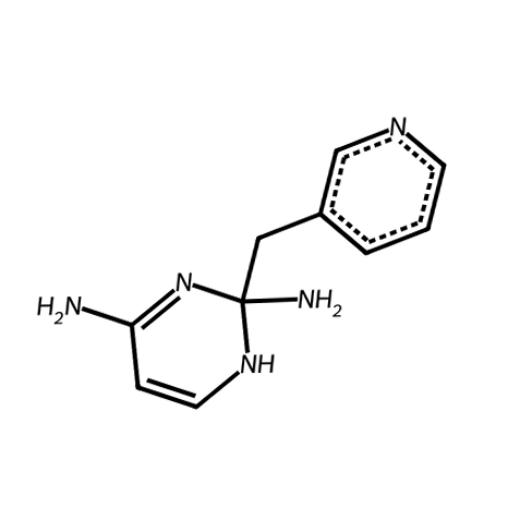 NC1=NC(N)(Cc2cccnc2)NC=C1